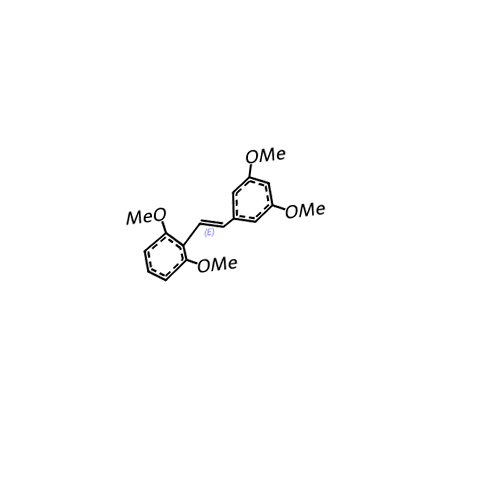 COc1cc(/C=C/c2c(OC)cccc2OC)cc(OC)c1